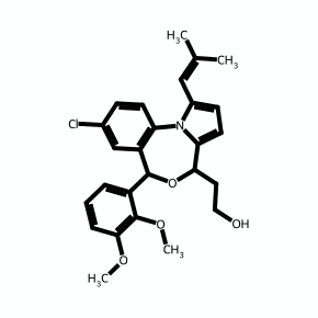 COc1cccc(C2OC(CCO)c3ccc(C=C(C)C)n3-c3ccc(Cl)cc32)c1OC